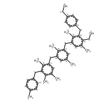 Cc1ccc(Cc2c(C)c(C)cc(Cc3cc(C)cc(Cc4cc(C)c(CO)c(Cc5ccc(CO)cc5)c4C)c3C)c2C)cc1